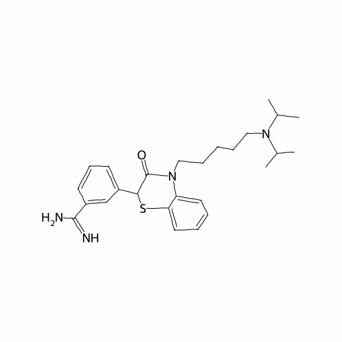 CC(C)N(CCCCCN1C(=O)C(c2cccc(C(=N)N)c2)Sc2ccccc21)C(C)C